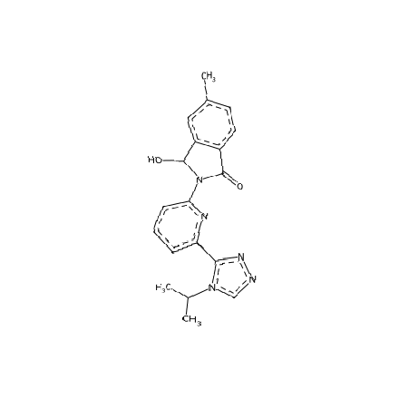 Cc1ccc2c(c1)C(O)N(c1cccc(-c3nncn3C(C)C)n1)C2=O